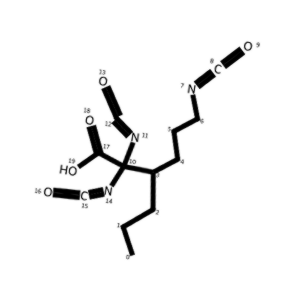 CCCC(CCCN=C=O)C(N=C=O)(N=C=O)C(=O)O